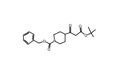 CC(C)(C)OC(=O)CC(=O)C1CCN(C(=O)OCc2ccccc2)CC1